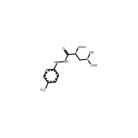 CCCCC[C@@H](CN(O)C=O)C(=O)NNc1ccc(C)cn1